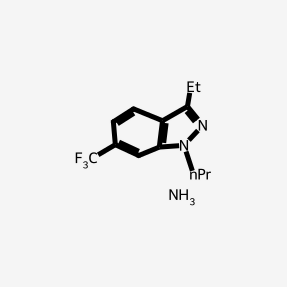 CCCn1nc(CC)c2ccc(C(F)(F)F)cc21.N